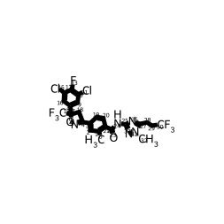 Cc1cc(C2=NOC(c3cc(Cl)c(F)c(Cl)c3)(C(F)(F)F)C2)ccc1C(=O)Nc1nc(CCC(F)(F)F)n(C)n1